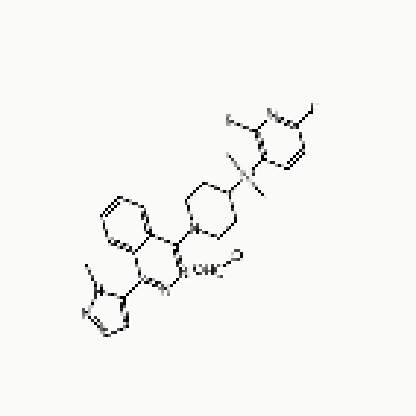 Cn1nccc1-c1nnc(N2CCC([N+](C)(C)c3ccc(F)nc3F)CC2)c2ccccc12.O=C[O-]